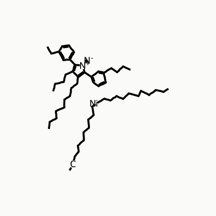 CCCCCCCCCC1=C(c2cccc(CCCC)c2)[N+](=[N-])C(c2cccc(CC)c2)=C1CCCC.CCCCCCCCCC[CH2][Ni][CH2]CCCCCCCCCC